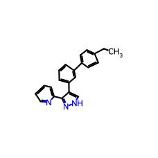 CCc1ccc(-c2cccc(-c3c[nH]nc3-c3ccccn3)c2)cc1